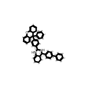 C1=CCC2C(=C1)Oc1ccccc1C2(c1ccccc1)c1ccc(C2NC3=CCCCC3C(c3ccc(-c4ccccc4)cc3)N2)cc1